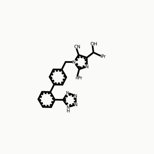 CCCc1nc(C(O)C(C)C)c(C#N)n1Cc1ccc(-c2ccccc2-c2nnn[nH]2)cc1